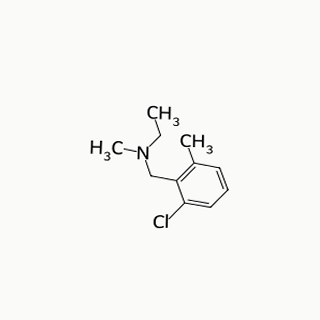 CCN(C)Cc1c(C)cccc1Cl